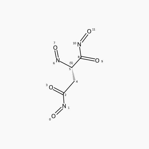 O=NC(=O)C[C@H](N=O)C(=O)N=O